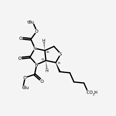 CC(C)(C)OC(=O)N1C(=O)N(C(=O)OC(C)(C)C)[C@H]2CS[C@@H](CCCCC(=O)O)[C@H]21